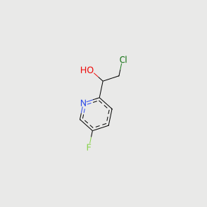 OC(CCl)c1ccc(F)cn1